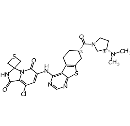 CN(C)[C@H]1CCN(C(=O)[C@H]2CCc3c(sc4ncnc(Nc5cc(Cl)c6n(c5=O)C5(CSC5)NC6=O)c34)C2)C1